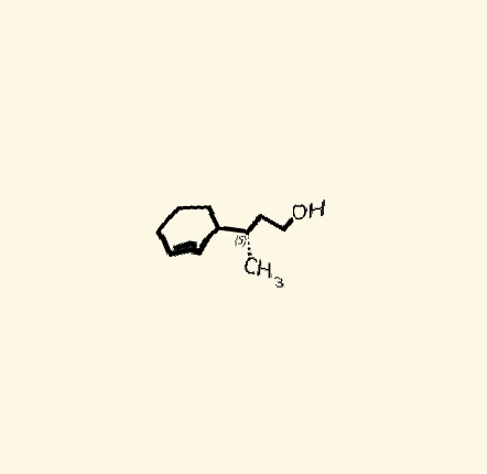 C[C@@H](CCO)C1C=CCCC1